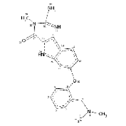 CN(C)Cc1ccccc1Oc1ccc2cc(C(=O)N(C)C(=N)N)[nH]c2c1